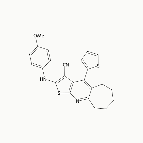 COc1ccc(Nc2sc3nc4c(c(-c5cccs5)c3c2C#N)CCCCC4)cc1